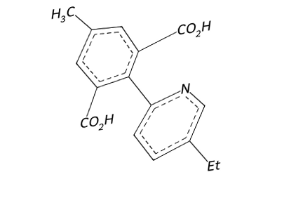 CCc1ccc(-c2c(C(=O)O)cc(C)cc2C(=O)O)nc1